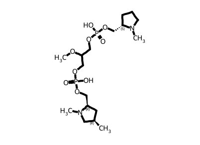 COC(COP(=O)(O)OC[C@@H]1CCCN1C)COP(=O)(O)OC[C@H]1C[C@@H](C)CN1C